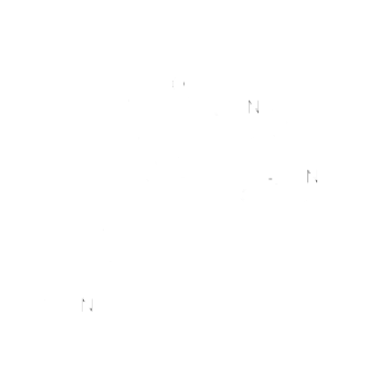 COc1cc(-c2ccc(C)cn2)ccc1-c1ccccc1-c1cc(CCc2ccc(-c3ccccn3)cc2)cc(CCc2ccc(-c3ccccn3)cc2)c1